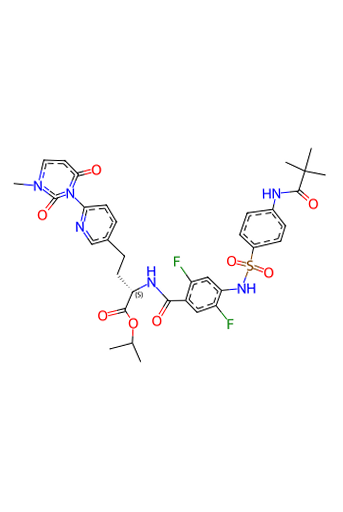 CC(C)OC(=O)[C@H](CCc1ccc(-n2c(=O)ccn(C)c2=O)nc1)NC(=O)c1cc(F)c(NS(=O)(=O)c2ccc(NC(=O)C(C)(C)C)cc2)cc1F